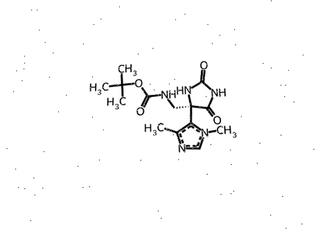 Cc1ncn(C)c1[C@@]1(CNC(=O)OC(C)(C)C)NC(=O)NC1=O